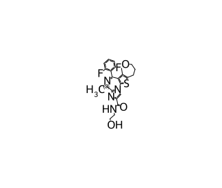 C[C@@H]1N=C(c2c(F)cccc2F)c2c(sc3c2COCCC3)-n2cc(C(=O)NCCO)nc21